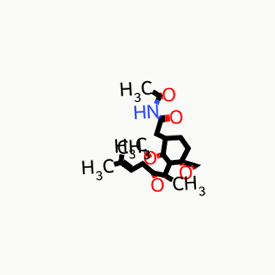 COC1C(CC(=O)NC(C)=O)CCC2(CO2)C1C1(C)OC1CC=C(C)C